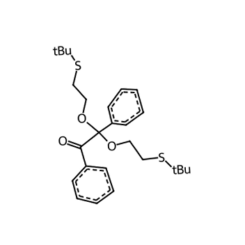 CC(C)(C)SCCOC(OCCSC(C)(C)C)(C(=O)c1ccccc1)c1ccccc1